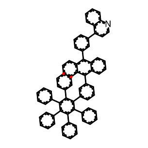 c1ccc(-c2c(-c3ccccc3)c(-c3ccccc3)c(-c3cccc(-c4c5ccccc5c(-c5cccc(-c6ccnc7ccccc67)c5)c5ccccc45)c3)c(-c3ccccc3)c2-c2ccccc2)cc1